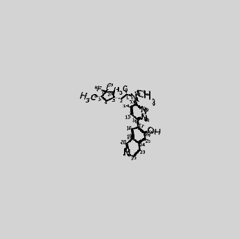 C[C@@H](C[C@@H]1C[C@H](C)C(F)(F)C1)N(C)c1ccc(-c2cc3cnccc3cc2O)nn1